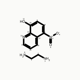 NCCN.O=[N+]([O-])c1ccc(O)c2ncccc12